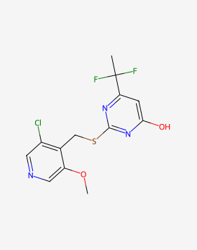 COc1cncc(Cl)c1CSc1nc(O)cc(C(C)(F)F)n1